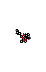 CC1(C)c2ccccc2-c2ccc(-c3ccc(N(c4ccc5c(c4)C4(c6ccccc6-5)c5ccccc5-c5oc6ccccc6c54)c4ccccc4-c4ccccc4)cc3)cc21